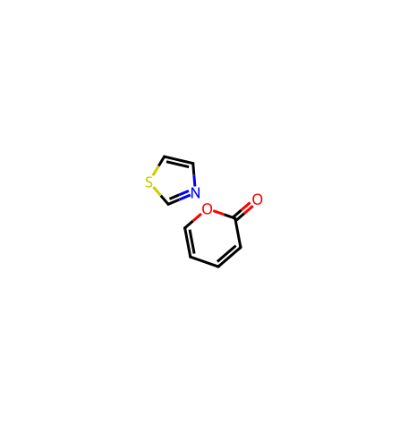 O=c1cccco1.c1cscn1